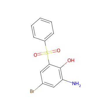 Nc1cc(Br)cc(S(=O)(=O)c2ccccc2)c1O